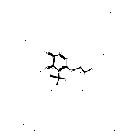 CCCOC1=C(C(C)(C)C)C(=O)C(=O)C=C1